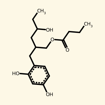 CCCC(=O)OCC(Cc1ccc(O)cc1O)CC(O)CC